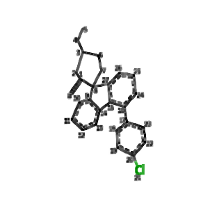 C=C1CC(CC)CCC12c1ccccc1-c1c(-c3ccc(Cl)cc3)cccc12